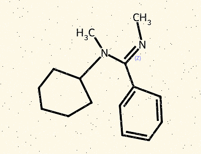 C/N=C(/c1ccccc1)N(C)C1CCCCC1